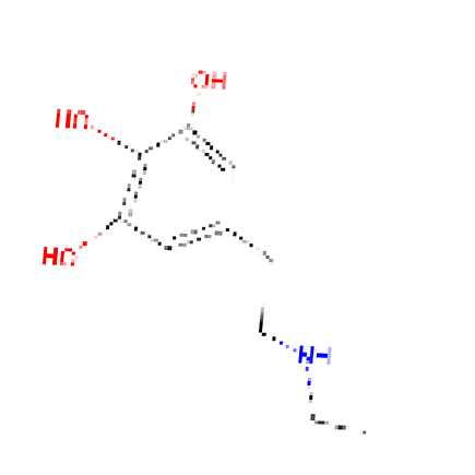 CCNCCc1cc(O)c(O)c(O)c1